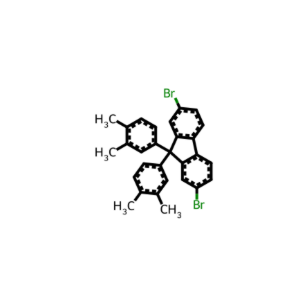 Cc1ccc(C2(c3ccc(C)c(C)c3)c3cc(Br)ccc3-c3ccc(Br)cc32)cc1C